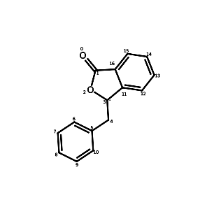 O=C1O[C](Cc2ccccc2)c2ccccc21